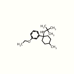 CCOc1cccc(C2(NC(C)(C)C)CCC(C)CC2)c1